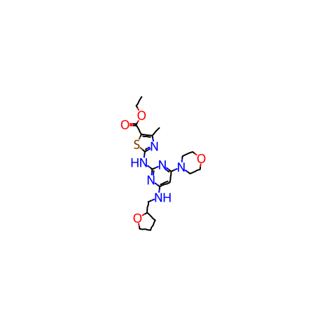 CCOC(=O)c1sc(Nc2nc(NCC3CCCO3)cc(N3CCOCC3)n2)nc1C